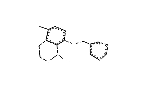 CC1NCCc2c(F)ccc(OCc3ccccc3)c21